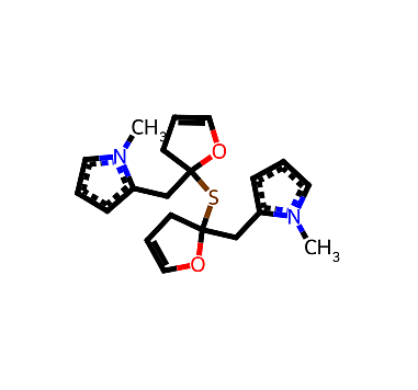 Cn1cccc1CC1(SC2(Cc3cccn3C)CC=CO2)CC=CO1